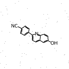 N#Cc1ccc(-c2ccc3cc(O)ccc3n2)cc1